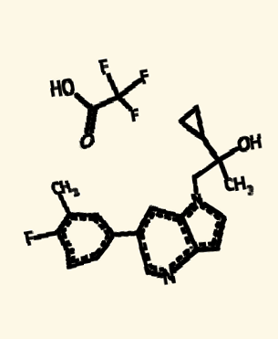 Cc1cc(-c2cnc3ccn(CC(C)(O)C4CC4)c3c2)ccc1F.O=C(O)C(F)(F)F